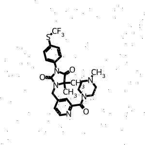 CN1CCN(C(=O)c2cc(CN3C(=O)N(c4ccc(SC(F)(F)F)cc4)C(=O)C3(C)C)ccn2)CC1